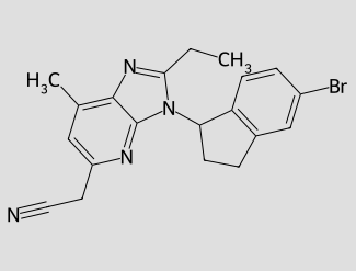 CCc1nc2c(C)cc(CC#N)nc2n1C1CCc2cc(Br)ccc21